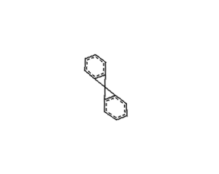 c1ccc2c(c1)C21c2ccccc21